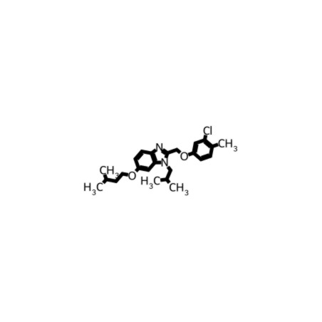 Cc1ccc(OCc2nc3ccc(OCCC(C)C)cc3n2CC(C)C)cc1Cl